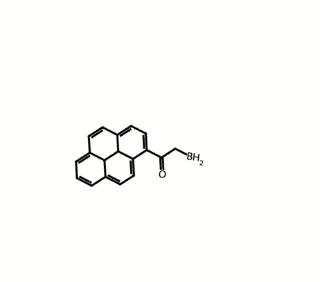 BCC(=O)C1=CC=C2C=CC3=CC=CC4=CC=C1C2C34